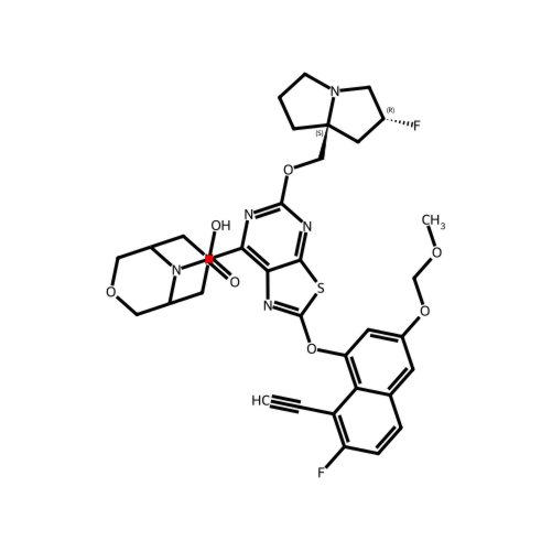 C#Cc1c(F)ccc2cc(OCOC)cc(Oc3nc4c(N5CC6COCC(C5)N6C(=O)O)nc(OC[C@@]56CCCN5C[C@H](F)C6)nc4s3)c12